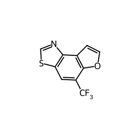 FC(F)(F)c1cc2scnc2c2ccoc12